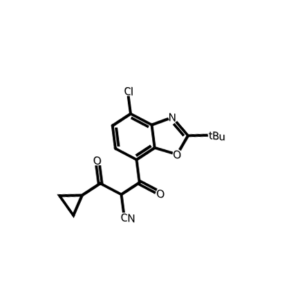 CC(C)(C)c1nc2c(Cl)ccc(C(=O)C(C#N)C(=O)C3CC3)c2o1